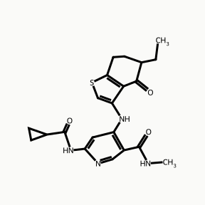 CCC1CCc2scc(Nc3cc(NC(=O)C4CC4)ncc3C(=O)NC)c2C1=O